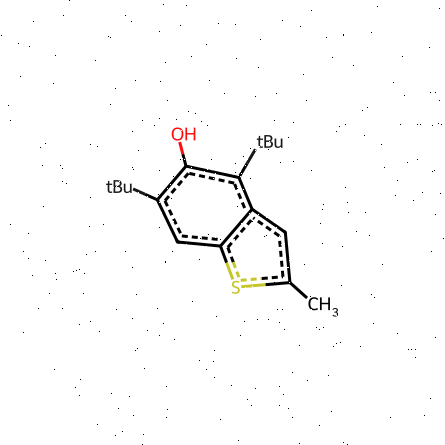 Cc1cc2c(C(C)(C)C)c(O)c(C(C)(C)C)cc2s1